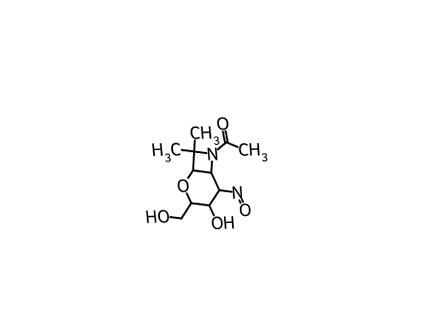 CC(=O)N1C2C(N=O)C(O)C(CO)OC2C1(C)C